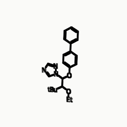 CCOC(C(Oc1ccc(-c2ccccc2)cc1)n1cncn1)C(C)(C)C